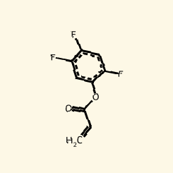 C=CC(=O)Oc1cc(F)c(F)cc1F